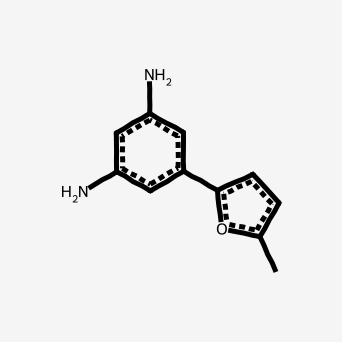 Cc1ccc(-c2cc(N)cc(N)c2)o1